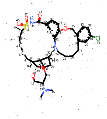 C[C@@H]1[C@@H](C)CCC[C@@](C)([C@H]2OC[C@@H](N(C)C)CO2)[C@@H]2CC[C@H]2CN2CCCCc3cc(Cl)ccc3COc3ccc(cc32)C(=O)NS1(=O)=O